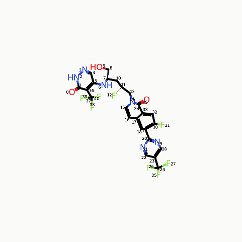 O=c1[nH]ncc(N[C@@H](CO)C[C@@H](F)Cn2ccc3cc(-c4ncc(C(F)(F)F)cn4)c(F)cc3c2=O)c1C(F)(F)F